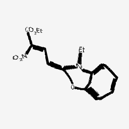 CCOC(=O)C(=CC=C1Oc2ccccc2N1CC)[N+](=O)[O-]